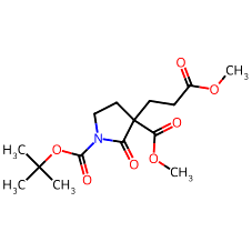 COC(=O)CCC1(C(=O)OC)CCN(C(=O)OC(C)(C)C)C1=O